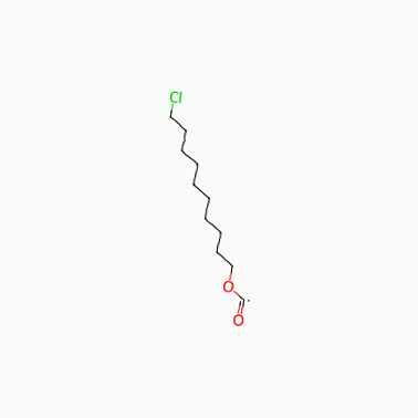 O=[C]OCCCCCCCCCCCl